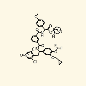 COc1ccc(C(NC(=O)c2cccc(C(=O)OC(Cc3c(Cl)c[n+]([O-])cc3Cl)c3ccc(OC(F)F)c(OCC4CC4)c3)c2)C(=O)O[C@H]2CN3CCC2CC3)cc1